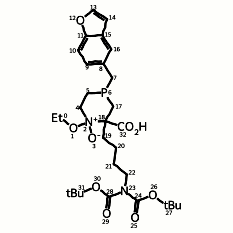 CCO[N+]1([O-])CCP(Cc2ccc3occc3c2)CC1(CCCCN(C(=O)OC(C)(C)C)C(=O)OC(C)(C)C)C(=O)O